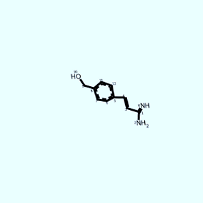 N=C(N)/C=C/c1ccc(CO)cc1